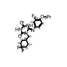 CC(C)Oc1ccc(/N=c2\[nH]c(=O)[nH]c(=O)n2CC2CCC(F)(F)CC2)cc1F